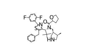 C[C@H]1CNC[C@H]1CN(C(=O)C1CCCO1)[C@@H](c1nc(-c2cc(F)ccc2F)sc1Cc1ccccc1)C(C)(C)C